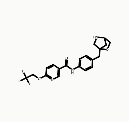 O=C(Nc1ccc(CC23CNC(CO2)C3)cc1)c1ccc(OCC(F)(F)F)nc1